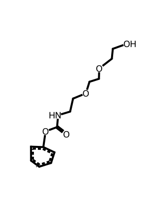 O=C(NCCOCCOCCO)Oc1cc[c]cc1